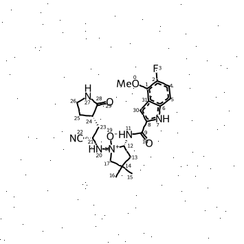 COc1c(F)ccc2[nH]c(C(=O)N[C@@H]3CC(C)(C)C[N+]3([O-])N[C@H](C#N)C[C@@H]3CCNC3=O)cc12